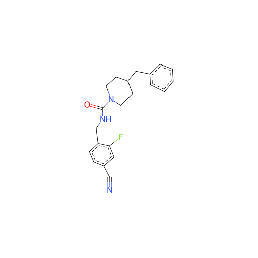 N#Cc1ccc(CNC(=O)N2CCC(Cc3ccccc3)CC2)c(F)c1